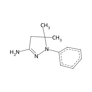 CC1(C)CC(N)=NN1c1ccccc1